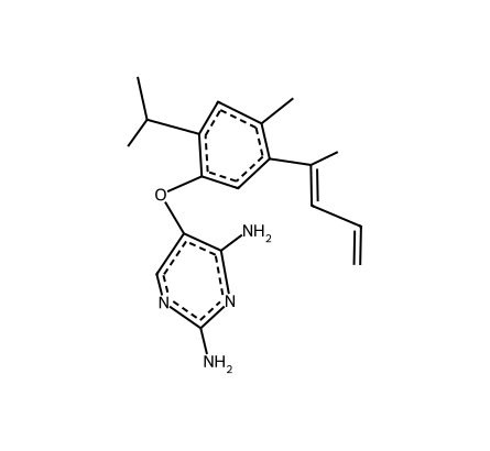 C=C/C=C(\C)c1cc(Oc2cnc(N)nc2N)c(C(C)C)cc1C